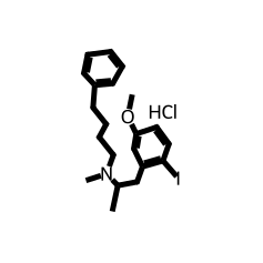 COc1ccc(I)c(CC(C)N(C)CCCCc2ccccc2)c1.Cl